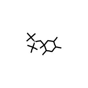 CC1CC(C)C(C)(CP(C(C)(C)C)C(C)(C)C)CC1C